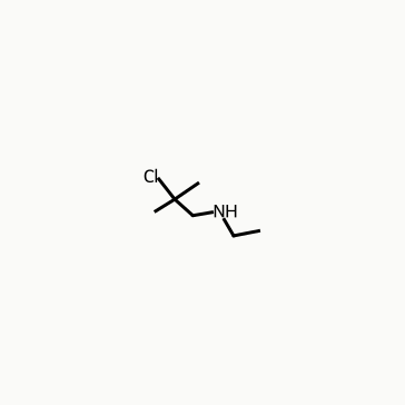 CCNCC(C)(C)Cl